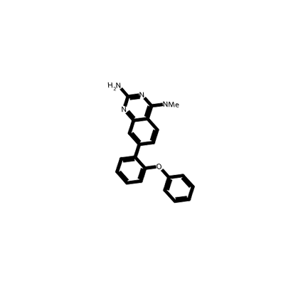 CNc1nc(N)nc2cc(-c3ccccc3Oc3ccccc3)ccc12